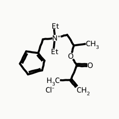 C=C(C)C(=O)OC(C)C[N+](CC)(CC)Cc1ccccc1.[Cl-]